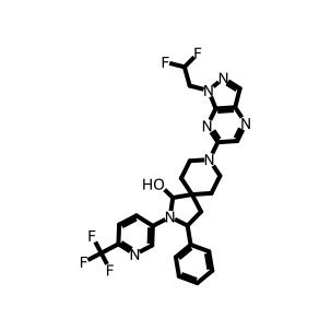 OC1N(c2ccc(C(F)(F)F)nc2)C(c2ccccc2)CC12CCN(c1cnc3cnn(CC(F)F)c3n1)CC2